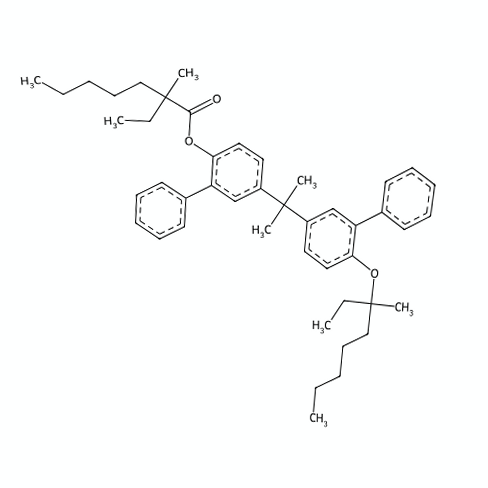 CCCCCC(C)(CC)Oc1ccc(C(C)(C)c2ccc(OC(=O)C(C)(CC)CCCCC)c(-c3ccccc3)c2)cc1-c1ccccc1